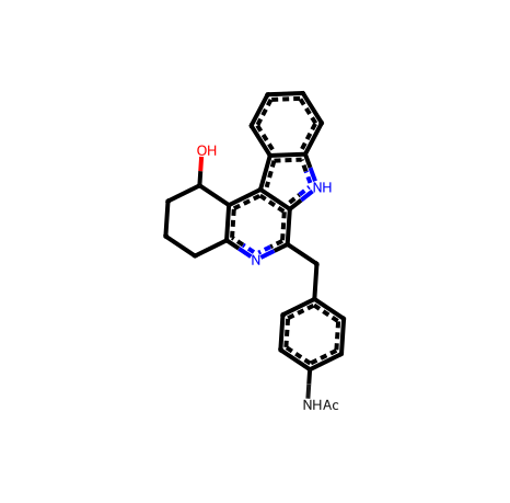 CC(=O)Nc1ccc(Cc2nc3c(c4c2[nH]c2ccccc24)C(O)CCC3)cc1